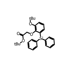 CC(C)(C)OC(=O)COc1c(OC(C)(C)C)cccc1[S+](c1ccccc1)c1ccccc1